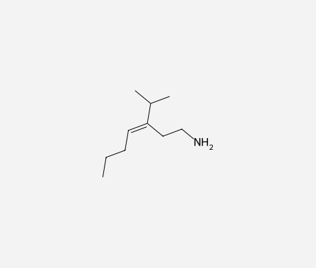 CCC/C=C(\CCN)C(C)C